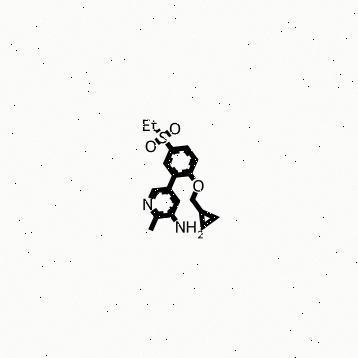 CCS(=O)(=O)c1ccc(OCC2CC2)c(-c2cnc(C)c(N)c2)c1